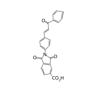 O=C(O)c1ccc2c(c1)C(=O)N(c1ccc(C=CC(=O)c3ccccc3)cc1)C2=O